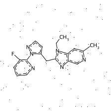 CCn1c(Cc2ccnn2-c2ncccc2F)nc2cnc(C)cc21